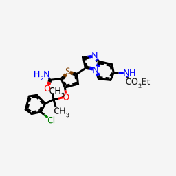 CCOC(=O)Nc1ccn2c(-c3cc(OC(C)(C)c4ccccc4Cl)c(C(N)=O)s3)cnc2c1